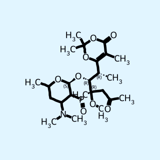 CO[C@](C)(CC(C)=O)[C@H](O[C@@H]1OC(C)CC(N(C)C)C1P=O)[C@@H](C)C1=C(C)C(=O)OC(C)(C)O1